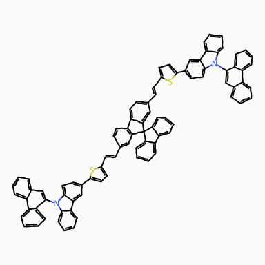 C(=C\c1ccc(-c2ccc3c(c2)c2ccccc2n3-c2cc3ccccc3c3ccccc23)s1)/c1ccc2c(c1)C1(c3ccccc3-c3ccccc31)c1cc(/C=C/c3ccc(-c4ccc5c(c4)c4ccccc4n5-c4cc5ccccc5c5ccccc45)s3)ccc1-2